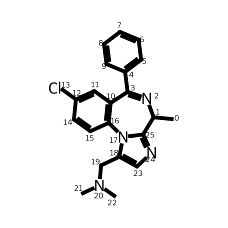 CC1N=C(c2ccccc2)c2cc(Cl)ccc2-n2c(CN(C)C)cnc21